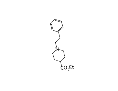 CCOC(=O)C1CCN(CCc2ccccc2)CC1